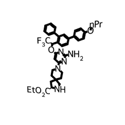 CCCOc1ccc(-c2ccc([C@@H](Oc3cc(N4CCC5(CC4)CN[C@H](C(=O)OCC)C5)nc(N)n3)C(F)(F)F)c(-c3ccccc3)c2)cc1